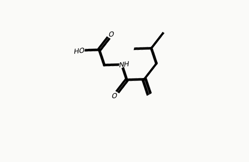 C=C(CC(C)C)C(=O)NCC(=O)O